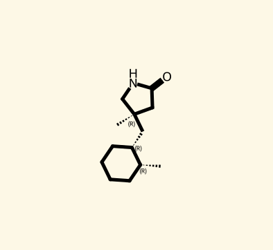 C[C@@H]1CCCC[C@@H]1C[C@@]1(C)CNC(=O)C1